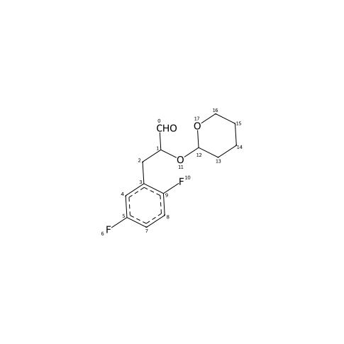 O=CC(Cc1cc(F)ccc1F)OC1CCCCO1